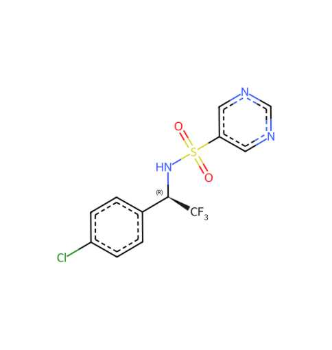 O=S(=O)(N[C@H](c1ccc(Cl)cc1)C(F)(F)F)c1cncnc1